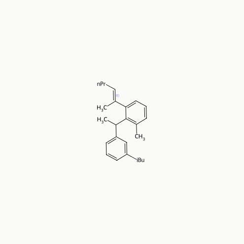 CCC/C=C(\C)c1cccc(C)c1C(C)c1cccc(C(C)CC)c1